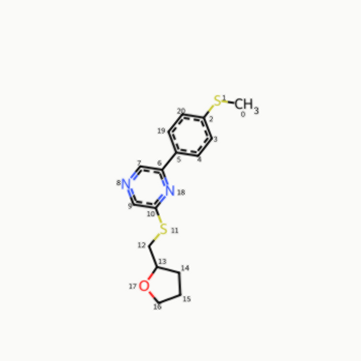 CSc1ccc(-c2cncc(SCC3CCCO3)n2)cc1